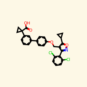 O=C(O)C1(c2cccc(-c3ccc(OCc4c(-c5c(Cl)cccc5Cl)noc4C4CC4)cc3)c2)CC1